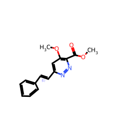 COC(=O)c1nnc(/C=C/c2ccccc2)cc1OC